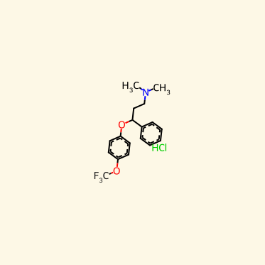 CN(C)CCC(Oc1ccc(OC(F)(F)F)cc1)c1ccccc1.Cl